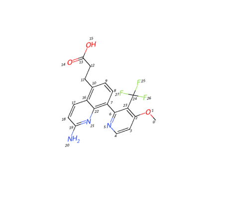 COc1ccnc(-c2ccc(CCC(=O)O)c3ccc(N)nc23)c1C(F)(F)F